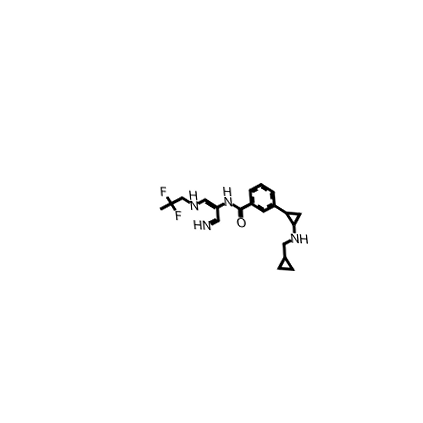 CC(F)(F)CN/C=C(\C=N)NC(=O)c1cccc(C2CC2NCC2CC2)c1